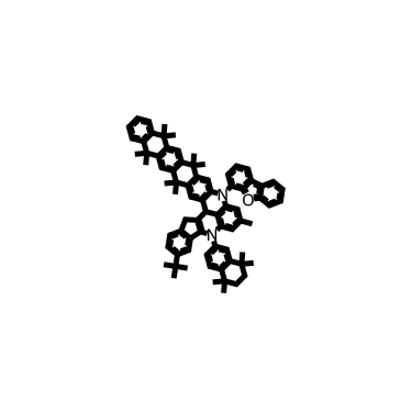 Cc1cc2c3c(c1)N(c1cccc4c1oc1ccccc14)c1cc4c(cc1C3C1=C(c3cc(C(C)(C)C)ccc3C1)N2c1ccc2c(c1)C(C)(C)CCC2(C)C)C(C)(C)c1cc2c(cc1C4(C)C)C(C)(C)c1ccccc1C2(C)C